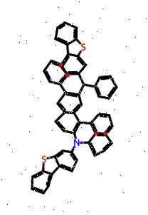 c1ccc(-c2cc3ccc(N(c4ccccc4)c4ccc5c(c4)sc4ccccc45)c(-c4ccccc4)c3cc2C(c2ccccc2)c2ccc3c(c2)sc2ccccc23)cc1